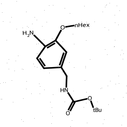 CCCCCCOc1cc(CNC(=O)OC(C)(C)C)ccc1N